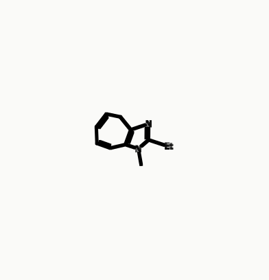 CCc1nc2c(n1C)C=CC=CC2